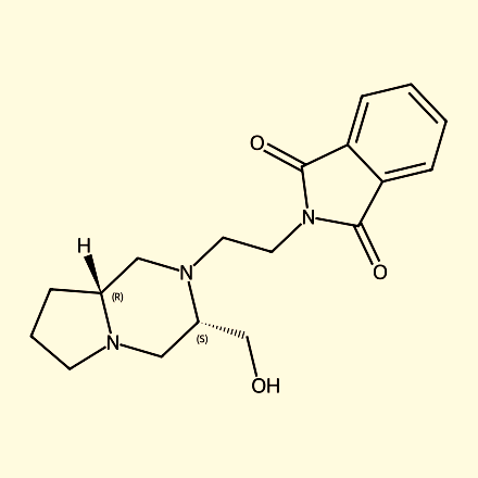 O=C1c2ccccc2C(=O)N1CCN1C[C@H]2CCCN2C[C@H]1CO